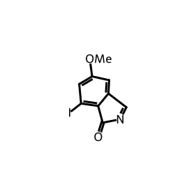 COc1cc(I)c2c(c1)C=NC2=O